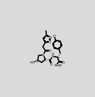 CNC(=O)[C@@H](Cc1ccc(Cl)cc1)NC(=O)[C@@H]1C[C@@H](O)CN1C(=O)Cc1cc(C)no1